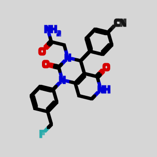 N#Cc1ccc(C2C3=C(CCNC3=O)N(c3cccc(CF)c3)C(=O)N2CC(N)=O)cc1